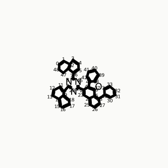 C1=Cc2cccc(-c3nc(-c4cccc5ccccc45)nc(-c4cc5cccc(-c6ccccc6)c5c5oc6ccccc6c45)n3)c2CC1